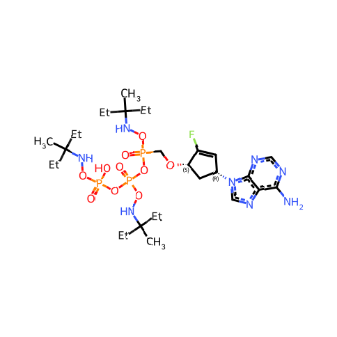 CCC(C)(CC)NOP(=O)(O)OP(=O)(ONC(C)(CC)CC)OP(=O)(CO[C@H]1C[C@@H](n2cnc3c(N)ncnc32)C=C1F)ONC(C)(CC)CC